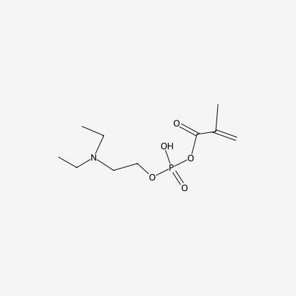 C=C(C)C(=O)OP(=O)(O)OCCN(CC)CC